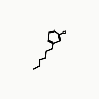 CCCCCCc1cc[c]c(Cl)c1